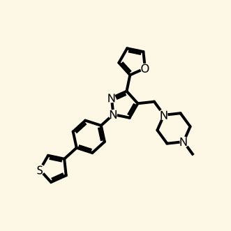 CN1CCN(Cc2cn(-c3ccc(-c4ccsc4)cc3)nc2-c2ccco2)CC1